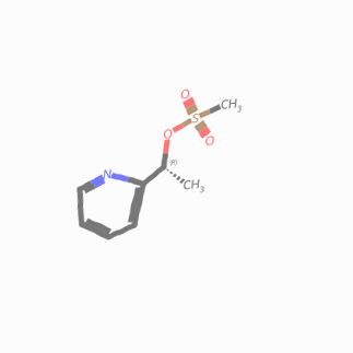 C[C@@H](OS(C)(=O)=O)c1ccccn1